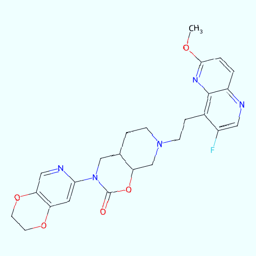 COc1ccc2ncc(F)c(CCN3CCC4CN(c5cc6c(cn5)OCCO6)C(=O)OC4C3)c2n1